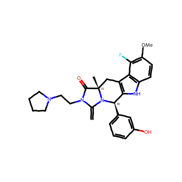 C=C1N(CCN2CCCC2)C(=O)[C@]2(C)Cc3c([nH]c4ccc(OC)c(F)c34)[C@@H](c3cccc(O)c3)N12